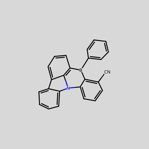 N#Cc1cccc2c1B(c1ccccc1)c1cccc3c4ccccc4n-2c13